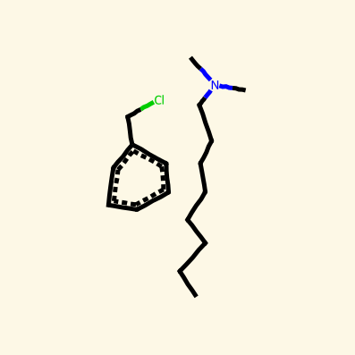 CCCCCCCCN(C)C.ClCc1ccccc1